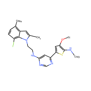 CCOc1cc(-c2cc(NCCn3c(C)cc4c(OC)ccc(F)c43)ncn2)sc1NC=O